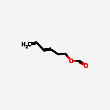 C=CC=CCCOC=O